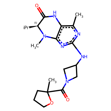 Cc1nc(NC2CN(C(=O)C3(C)CCCO3)C2)nc2c1NC(=O)[C@H](C(C)C)N2C